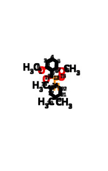 COc1cccc(OC)c1C(=O)[PH](=O)C1=C(C)CC(C)(C)C=C1